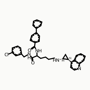 O=C(NC(CCCCN[C@@H]1C[C@H]1c1ccnc2ccccc12)C(=O)NCc1cccc(Cl)c1)c1ccc(-c2ccccc2)cc1